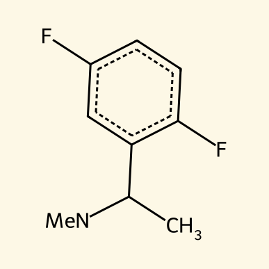 CNC(C)c1cc(F)ccc1F